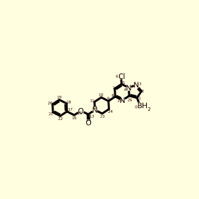 Bc1cnn2c(Cl)cc(C3CCN(C(=O)OCc4ccccc4)CC3)nc12